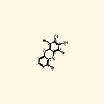 Oc1c(O)c(Br)c2c(c1Br)Oc1cccc(Br)c1O2